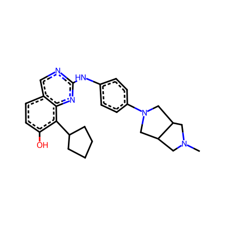 CN1CC2CN(c3ccc(Nc4ncc5ccc(O)c(C6CCCC6)c5n4)cc3)CC2C1